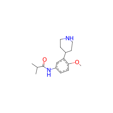 COc1ccc(NC(=O)C(C)C)cc1C1CCNCC1